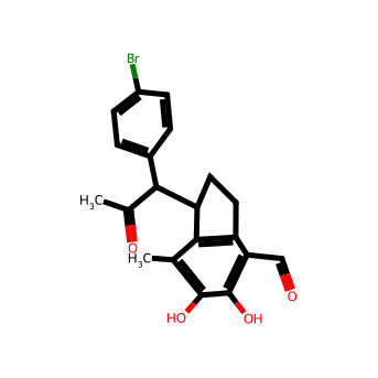 CC(=O)C(c1ccc(Br)cc1)C1CCc2c(C=O)c(O)c(O)c(C)c21